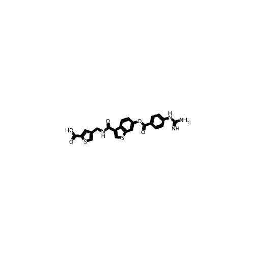 N=C(N)Nc1ccc(C(=O)Oc2ccc3c(C(=O)NCc4csc(C(=O)O)c4)csc3c2)cc1